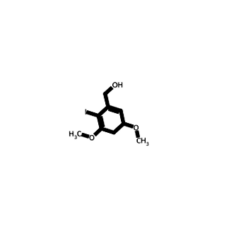 COC1=C(I)C(CO)=CC(OC)C1